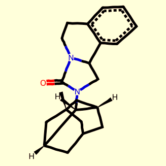 C[C@@]12CC3C[C@H](C1)[C@H](N1CC4c5ccccc5CCN4C1=O)[C@@H](C3)C2